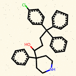 OC(CCC(c1ccccc1)(c1ccccc1)c1ccc(Cl)cc1)C1(c2ccccc2)CCNCC1